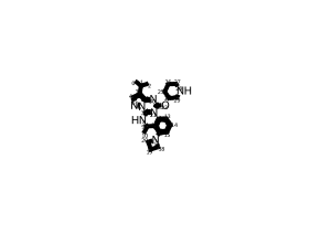 CC(C)c1cnn2c(NC(C)c3ccccc3N3CCC3)nc(O[C@@H]3CCCNC3)nc12